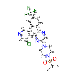 CC(C)S(=O)(=O)N1CCN(c2cnc(-c3ccc(C(F)(F)F)cc3)c(-c3ccncc3Cl)n2)CC1